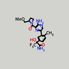 COCC1CCN1C(=O)c1nc(-c2cc(C(O)(C(N)=O)C(F)(F)F)ccc2C)cnc1N